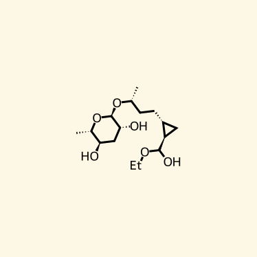 CCOC(O)[C@@H]1C[C@H]1CC[C@@H](C)O[C@@H]1O[C@@H](C)[C@H](O)C[C@H]1O